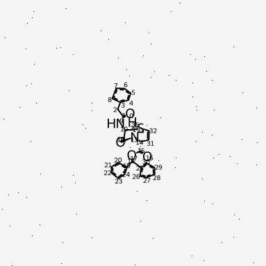 O=C(Cc1ccccc1)N[C@@H]1C(=O)N2[C@@H](C(=O)OC(c3ccccc3)c3ccccc3)C=CS[C@H]12